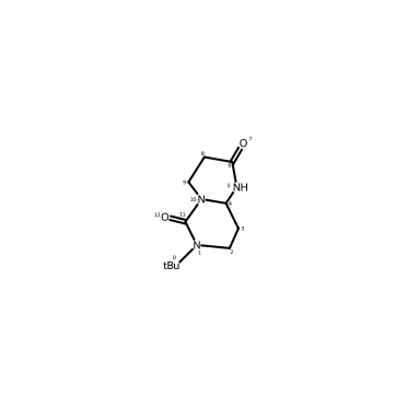 CC(C)(C)N1CCC2NC(=O)CCN2C1=O